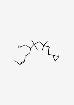 C/C=C\SCC(SCC)C(C)(C)CC(C)(C)SCC1CS1